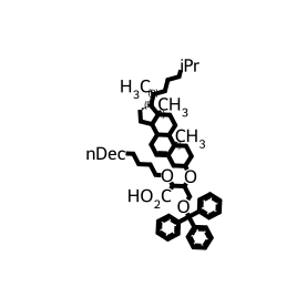 CCCCCCCCCCCCCCOC(C(=O)O)C(COC(c1ccccc1)(c1ccccc1)c1ccccc1)OC1CC[C@@]2(C)C(=CCC3C2CC[C@@]2(C)C3CC[C@@H]2[C@H](C)CCCC(C)C)C1